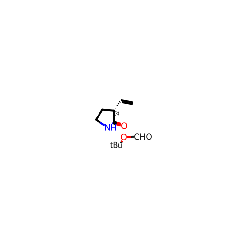 C=C[C@H]1CCNC1=O.CC(C)(C)OC=O